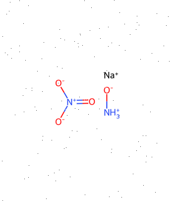 O=[N+]([O-])[O-].[NH3+][O-].[Na+]